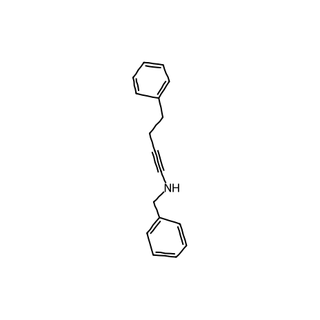 C(#CNCc1ccccc1)CCc1ccccc1